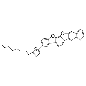 CCCCCCCCc1ccc(-c2ccc3oc4c(ccc5c6cc7ccccc7cc6oc54)c3c2)s1